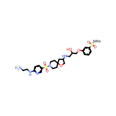 CNS(=O)(=O)c1cccc(OCC(O)CNC2COC3(CCN(S(=O)(=O)c4ccc(NCCN)nc4)CC3)C2)c1